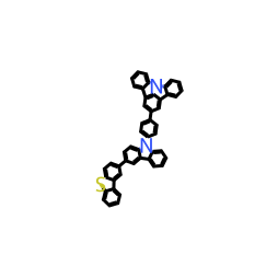 c1ccc2c(c1)sc1ccc(-c3ccc4c(c3)c3ccccc3n4-c3ccc(-c4cc5c6ccccc6n6c7ccccc7c(c4)c56)cc3)cc12